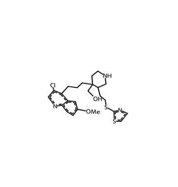 COc1ccc2ncc(Cl)c(CCCC3(CO)CCNCC3CCSc3nccs3)c2c1